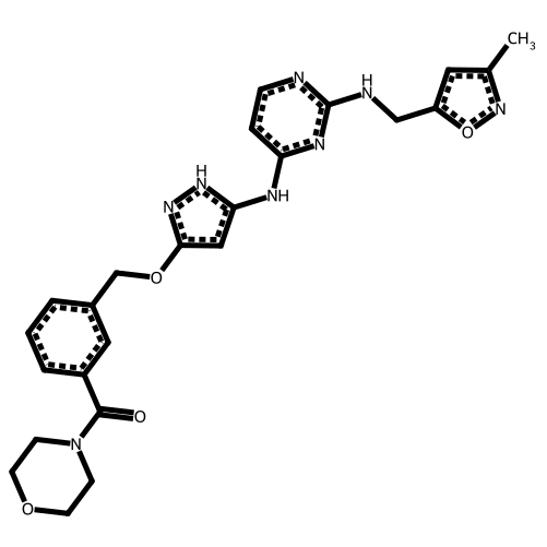 Cc1cc(CNc2nccc(Nc3cc(OCc4cccc(C(=O)N5CCOCC5)c4)n[nH]3)n2)on1